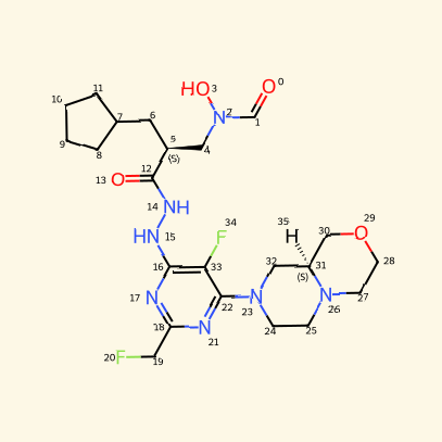 O=CN(O)C[C@H](CC1CCCC1)C(=O)NNc1nc(CF)nc(N2CCN3CCOC[C@@H]3C2)c1F